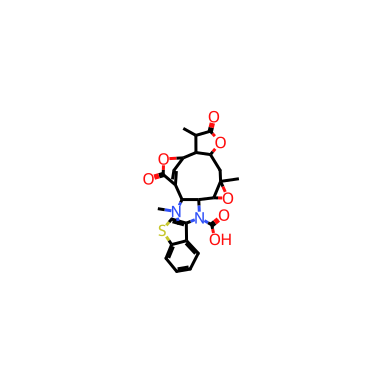 CC1C(=O)OC2CC3(C)OC3C(N(C(=O)O)c3csc4ccccc34)C(N(C)C)C3=CC(OC3=O)C21